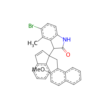 COc1ccc2ccccc2c1CC1(C2C(=O)Nc3ccc(Br)c(C)c32)C=Cc2ccccc21